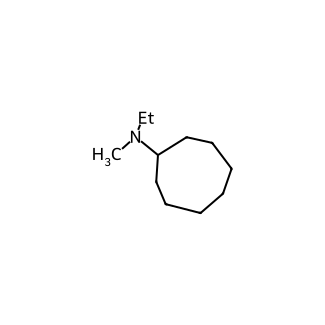 [CH2]CN(C)C1CCCCCCC1